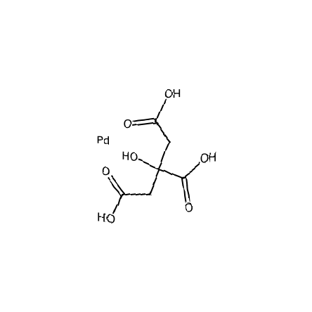 O=C(O)CC(O)(CC(=O)O)C(=O)O.[Pd]